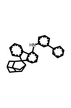 c1ccc(-c2cccc(Nc3cccc4c3-c3ccccc3C43C4CC5CC(C4)CC3C5)c2)cc1